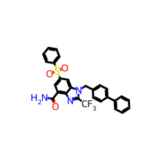 NC(=O)c1cc(S(=O)(=O)c2ccccc2)cc2c1nc(C(F)(F)F)n2Cc1ccc(-c2ccccc2)cc1